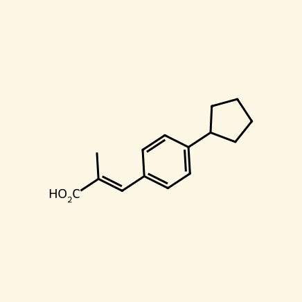 C/C(=C\c1ccc(C2CCCC2)cc1)C(=O)O